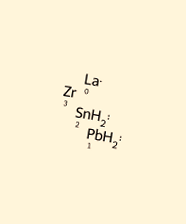 [La].[PbH2].[SnH2].[Zr]